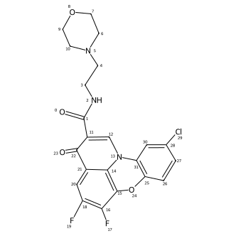 O=C(NCCN1CCOCC1)c1cn2c3c(c(F)c(F)cc3c1=O)Oc1ccc(Cl)cc1-2